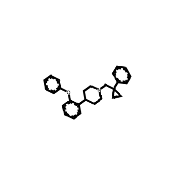 c1ccc(Oc2ccccc2C2CCN(CC3(c4ccccc4)CC3)CC2)cc1